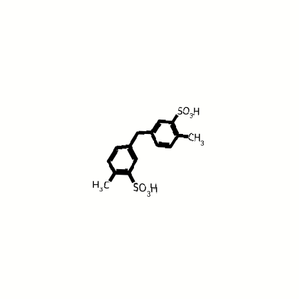 Cc1ccc(Cc2ccc(C)c(S(=O)(=O)O)c2)cc1S(=O)(=O)O